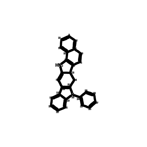 C1=C2Nc3c(ccc4ccccc34)C2Cc2c1c1ccccc1n2-c1ccccc1